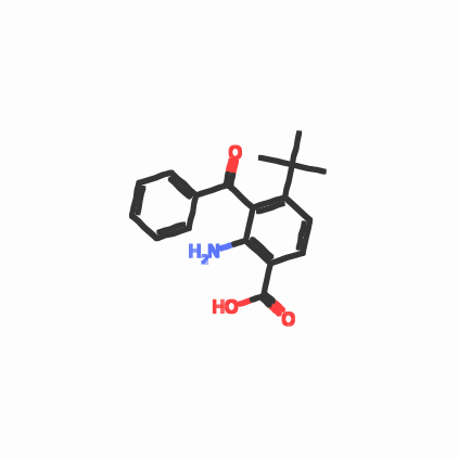 CC(C)(C)c1ccc(C(=O)O)c(N)c1C(=O)c1ccccc1